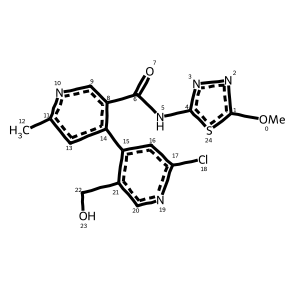 COc1nnc(NC(=O)c2cnc(C)cc2-c2cc(Cl)ncc2CO)s1